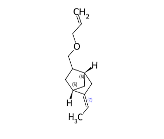 C=CCOCC1C[C@@H]2C[C@H]1C/C2=C/C